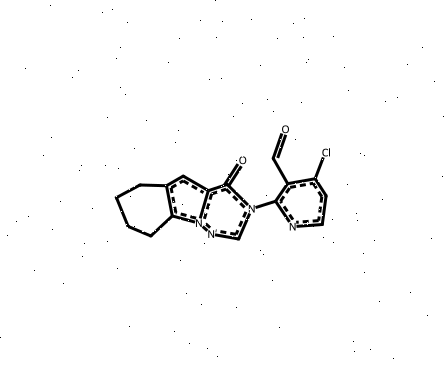 O=Cc1c(Cl)ccnc1-n1cnn2c3c(cc2c1=O)CCCC3